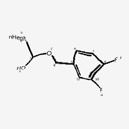 CCCCCCCC(O)OCc1ccc(F)c(F)c1